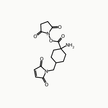 NC1(C(=O)ON2C(=O)CCC2=O)CCC(CN2C(=O)C=CC2=O)CC1